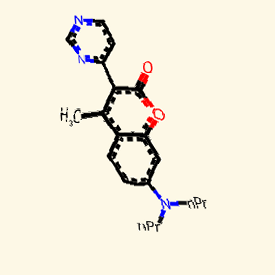 CCCN(CCC)c1ccc2c(C)c(-c3ccncn3)c(=O)oc2c1